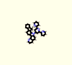 CC1(C)c2ccccc2-c2ccc3c4c5ncccc5ccc4n(-c4cc(-c5ccccn5)nc(-c5ccccn5)c4)c3c21